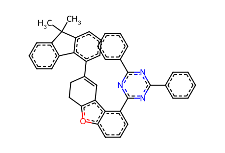 CC1(C)c2ccccc2-c2c(C3=Cc4c(oc5cccc(-c6nc(-c7ccccc7)nc(-c7ccccc7)n6)c45)CC3)cccc21